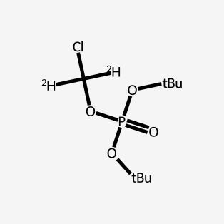 [2H]C([2H])(Cl)OP(=O)(OC(C)(C)C)OC(C)(C)C